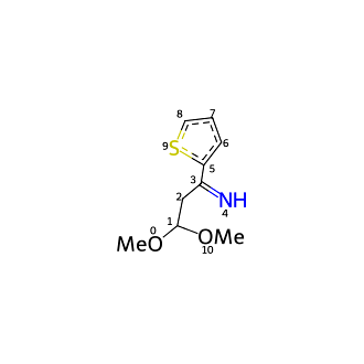 COC(CC(=N)c1cccs1)OC